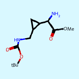 COC(=O)C(N)C1CC1CNC(=O)OC(C)(C)C